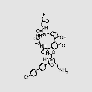 C[C@@H]1NC(=O)[C@@H](N(C)C(=O)[C@H](CCCCN)NC(=O)c2ccc(-c3ccc(Cl)cc3)cc2)c2ccc(C=O)c(c2)-c2cc(ccc2O)C[C@@H](C(=O)NCC(=O)CF)NC1=O